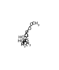 CCC1SC(c2ccc(OCCOCCOC)cc2O)=N[C@@]1(C)C(=O)O